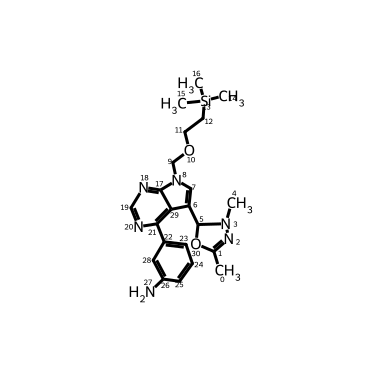 CC1=NN(C)C(c2cn(COCC[Si](C)(C)C)c3ncnc(-c4cccc(N)c4)c23)O1